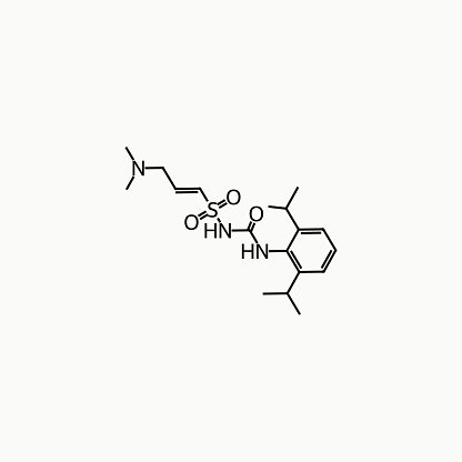 CC(C)c1cccc(C(C)C)c1NC(=O)NS(=O)(=O)/C=C/CN(C)C